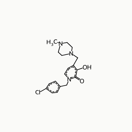 CN1CCN(Cc2ccn(Cc3ccc(Cl)cc3)c(=O)c2O)CC1